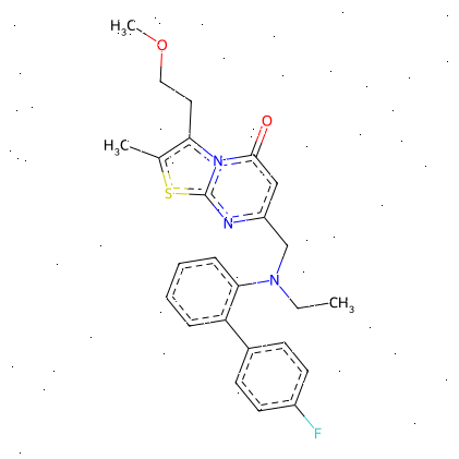 CCN(Cc1cc(=O)n2c(CCOC)c(C)sc2n1)c1ccccc1-c1ccc(F)cc1